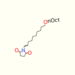 CCCCCCCCOCCCCCCCCC=CN1C(=O)CCC1=O